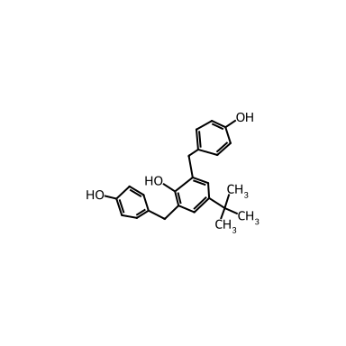 CC(C)(C)c1cc(Cc2ccc(O)cc2)c(O)c(Cc2ccc(O)cc2)c1